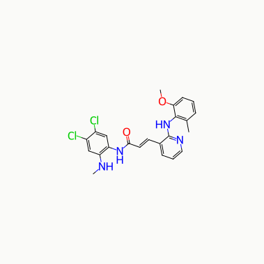 CNc1cc(Cl)c(Cl)cc1NC(=O)/C=C/c1cccnc1Nc1c(C)cccc1OC